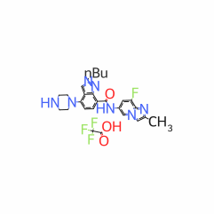 CCCCn1cc2c(N3CCNCC3)ccc(C(=O)Nc3cc(F)c4nc(C)cn4c3)c2n1.O=C(O)C(F)(F)F